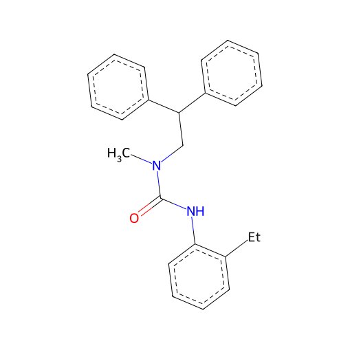 CCc1ccccc1NC(=O)N(C)CC(c1ccccc1)c1ccccc1